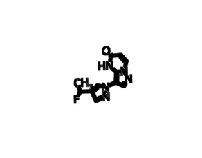 CC(F)c1cnn(-c2cnn3ccc(=O)[nH]c23)c1